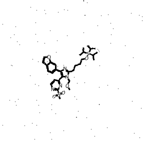 COCn1c(CCCCO[Si](C(C)C)(C(C)C)C(C)C)nc(-c2ccc3ccoc3c2)c1-c1ccnc(S(C)(=O)=O)n1